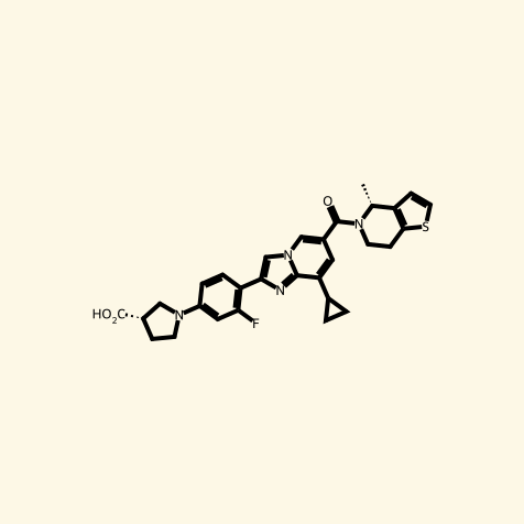 C[C@@H]1c2ccsc2CCN1C(=O)c1cc(C2CC2)c2nc(-c3ccc(N4CC[C@H](C(=O)O)C4)cc3F)cn2c1